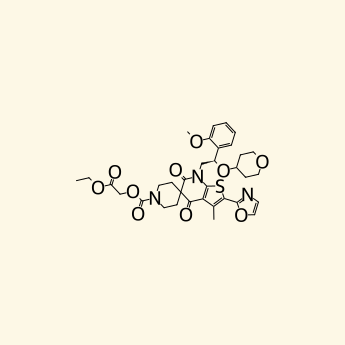 CCOC(=O)COC(=O)N1CCC2(CC1)C(=O)c1c(sc(-c3ncco3)c1C)N(C[C@H](OC1CCOCC1)c1ccccc1OC)C2=O